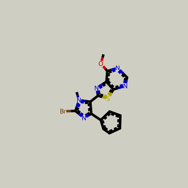 COc1ncnc2sc(-c3c(-c4ccccc4)nc(Br)n3C)nc12